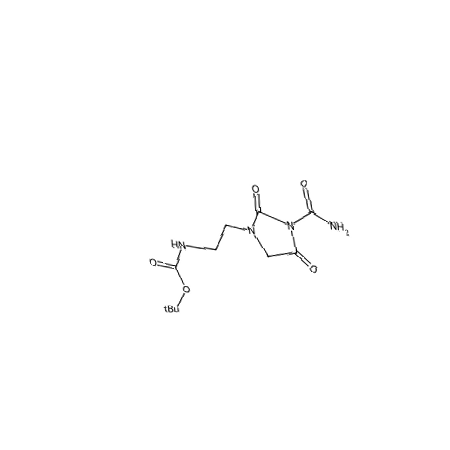 CC(C)(C)OC(=O)NCCN1CC(=O)N(C(N)=O)C1=O